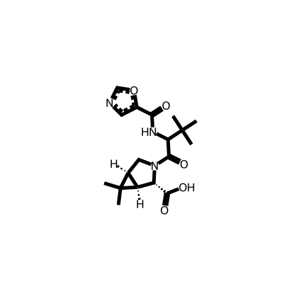 CC(C)(C)C(NC(=O)c1cnco1)C(=O)N1C[C@H]2[C@@H]([C@H]1C(=O)O)C2(C)C